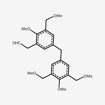 COCc1cc(Cc2cc(COC)c(OC)c(COC)c2)cc(CC=O)c1OC